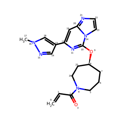 C=CC(=O)N1CCC[C@H](Oc2nc(-c3cnn(C)c3)cc3nccn23)CC1